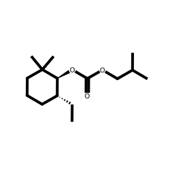 CC[C@@H]1CCCC(C)(C)[C@H]1OC(=O)OCC(C)C